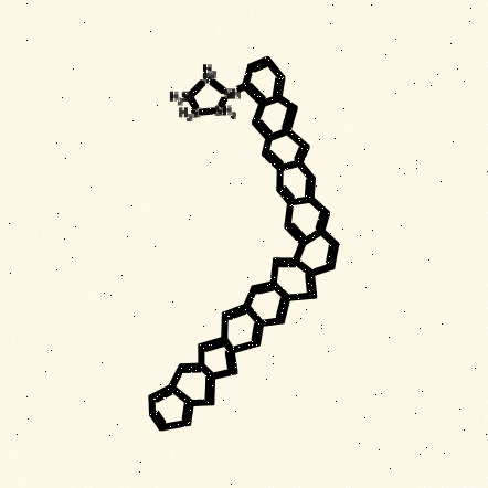 c1ccc2cc3cc4cc5cc6cc7c(ccc8cc9cc%10cc%11cc%12cccc([SiH]%13[SiH2][SiH2][SiH2][SiH2]%13)c%12cc%11cc%10cc9cc87)cc6cc5cc4cc3cc2c1